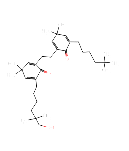 CC1(C)C=C(CCCCC(C)(C)C)C(=O)C(CCC2=CC(C)(C)C=C(CCCCC(C)(C)CO)C2=O)=C1